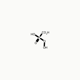 O=C(O)P(=O)(O)OO